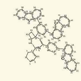 C1=CCCC(C2=NC(c3ccc(-c4cccc5c4oc4ccccc45)cc3)=CC3(c4cc(-c5cccc6c5sc5ccccc56)cc(-c5cccc6c5sc5ccccc56)c4)CCC3C2)=C1